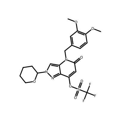 COc1ccc(Cn2c(=O)cc(OS(=O)(=O)C(F)(F)F)c3nn(C4CCCCO4)cc32)cc1OC